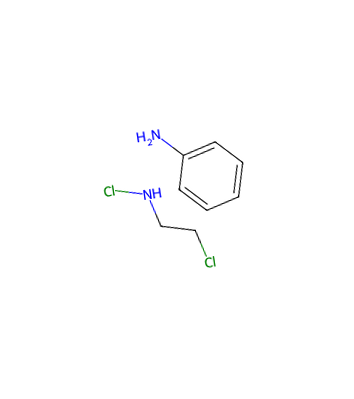 ClCCNCl.Nc1ccccc1